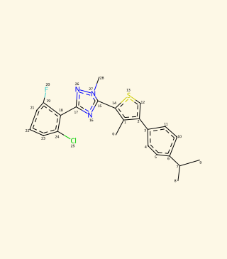 Cc1c(-c2ccc(C(C)C)cc2)csc1-c1nc(-c2c(F)cccc2Cl)nn1C